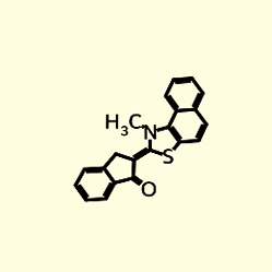 CN1C(=C2Cc3ccccc3C2=O)Sc2ccc3ccccc3c21